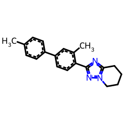 Cc1ccc(-c2ccc(-c3nc4n(n3)CCCC4)c(C)c2)cc1